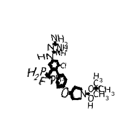 CC(C)(C)OC(O)N1CCC(Oc2ccc(-c3c(Cl)cc(NC4N=C(N)NN4)cc3C(F)(P)P)cc2)CC1